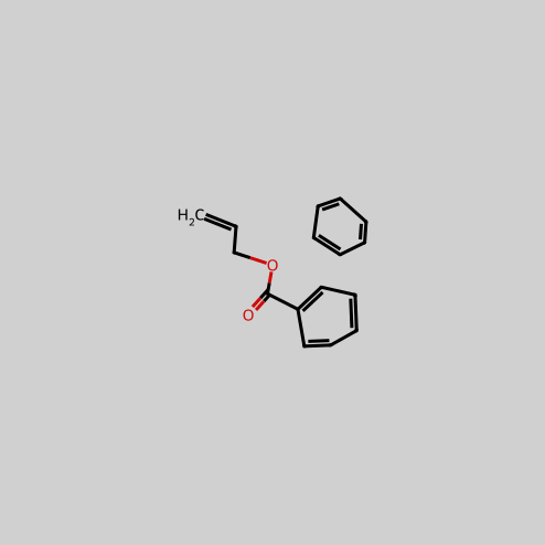 C=CCOC(=O)c1ccccc1.c1ccccc1